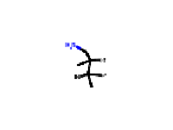 CCC(C)(CC)C(C)(CC)CN